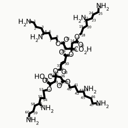 NCCCC(N)CCCOC(=O)CC(CC(=O)OCCCC(N)CCCN)(OC(=O)/C=C/C(=O)OC(CC(=O)OCCCC(N)CCCN)(CC(=O)OCCCC(N)CCCN)C(=O)O)C(=O)O